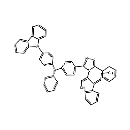 C/C=C(\C(=C/CC)c1ccccc1)n1c(-c2ccc(N(c3ccccc3)c3ccc(-n4c5ccccc5c5ccccc54)cc3)cc2)nnc1C1C=CC=CC1